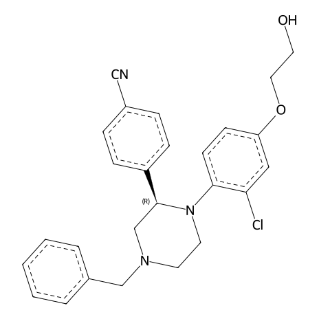 N#Cc1ccc([C@@H]2CN(Cc3ccccc3)CCN2c2ccc(OCCO)cc2Cl)cc1